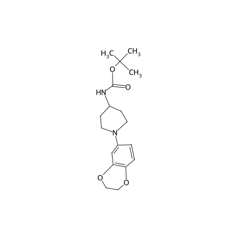 CC(C)(C)OC(=O)NC1CCN(c2ccc3c(c2)OCCO3)CC1